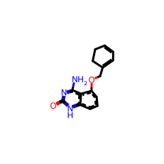 Nc1nc(=O)[nH]c2cccc(OCC3=CC=CCC3)c12